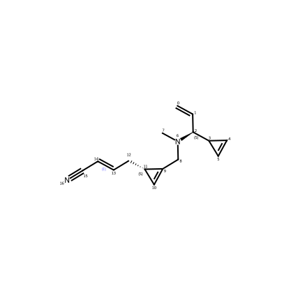 C=C[C@@H](C1C=C1)N(C)CC1=C[C@@H]1C/C=C/C#N